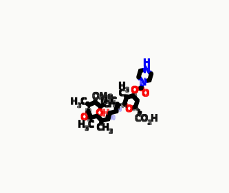 COC(C(C)O)C(C)[C@H]1O[C@]1(C)CC(C)/C=C/C=C(\C)[C@H]1O[C@@H](CC(=O)O)C[C@@H](OC(=O)N2CCNCC2)[C@@H]1C